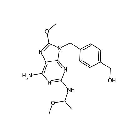 COc1nc2c(N)nc(NC(C)OC)nc2n1Cc1ccc(CO)cc1